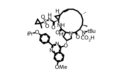 COc1ccc2c(O[C@@H]3C[C@H]4C(=O)N[C@]5(C(=O)NS(=O)(=O)C6(C)CC6)C[C@H]5/C=C\CC[C@H](C)C[C@@H](C)[C@H](N(C(=O)O)C(C)(C)C)C(=O)N4C3)nc(-c3ccc(OC(C)C)cc3)nc2c1